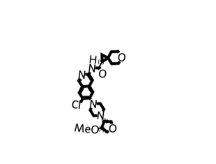 CO[C@H]1COC[C@H]1N1CCN(c2cc3cc(NC(=O)[C@H]4CC45CCOCC5)ncc3cc2Cl)CC1